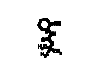 CC(C)(C)OC(=O)N[C@H]1CCCCC1=N